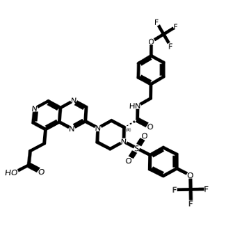 O=C(O)CCc1cncc2ncc(N3CCN(S(=O)(=O)c4ccc(OC(F)(F)F)cc4)[C@@H](C(=O)NCc4ccc(OC(F)(F)F)cc4)C3)nc12